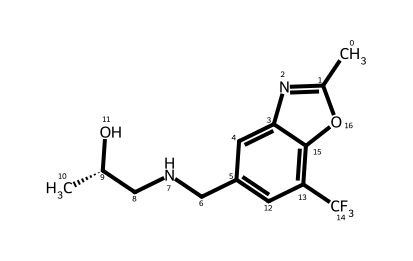 Cc1nc2cc(CNC[C@H](C)O)cc(C(F)(F)F)c2o1